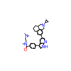 CN(C)CCN(C)C(=O)c1ccc(-c2c[nH]c3ncc(-c4cc5c6c(c4)CN(C4CC4)CC6CCC5)cc23)cc1